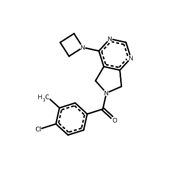 Cc1cc(C(=O)N2Cc3ncnc(N4CCC4)c3C2)ccc1Cl